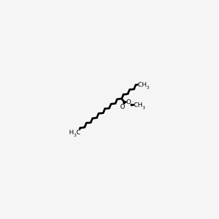 CCCCCCCCCCCCCCC(CCCCCC)C(=O)OCC